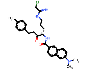 Cc1ccc(CCC(=O)[C@H](CCCNC(=N)CCl)NC(=O)c2ccc3cc(N(C)C)ccc3c2)cc1